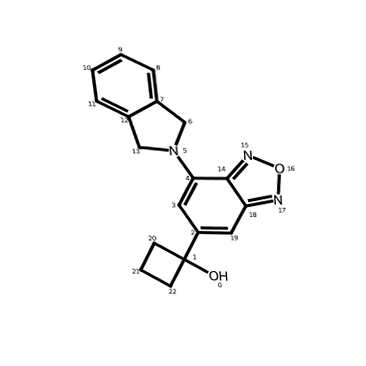 OC1(c2cc(N3Cc4ccccc4C3)c3nonc3c2)CCC1